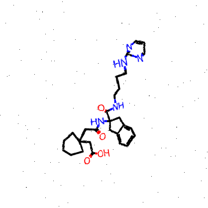 O=C(O)CC1(CC(=O)NC2(C(=O)NCCCCNc3ncccn3)Cc3ccccc3C2)CCCCC1